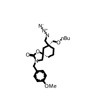 CCCCOC[C@]1(CN=[N+]=[N-])CCC[C@@]2(CN(Cc3ccc(OC)cc3)C(=O)O2)C1